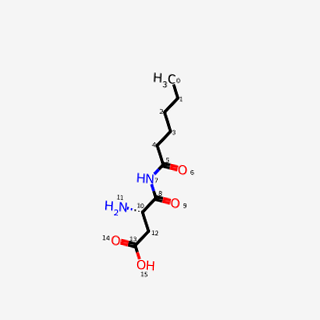 CCCCCC(=O)NC(=O)[C@@H](N)CC(=O)O